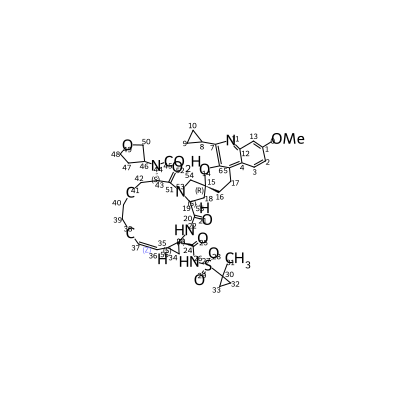 COc1ccc2c3c(c(C4CC4)nc2c1)O[C@]1(CC3)C[C@H]2C(=O)N[C@]3(C(=O)NS(=O)(=O)C4(C)CC4)C[C@H]3/C=C\CCCCC[C@H](N(C(=O)O)C3CCOC3)C(=O)N2C1